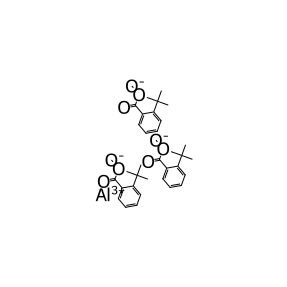 CC(C)(C)c1ccccc1C(=O)O[O-].CC(C)(C)c1ccccc1C(=O)O[O-].CC(C)(C)c1ccccc1C(=O)O[O-].[Al+3]